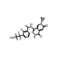 CC(Nc1nn(C)c(=O)c2cc(=O)n(C3CC3)cc12)c1cccc(C(F)(F)C(C)(C)O)c1F